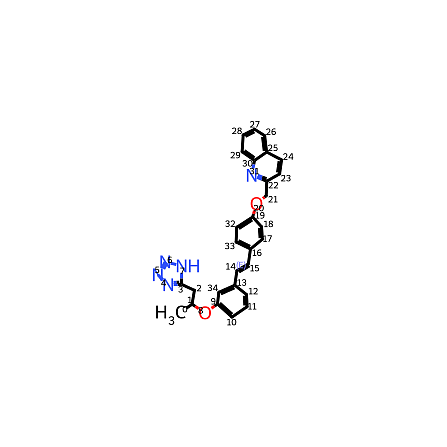 CC(Cc1nnn[nH]1)Oc1cccc(/C=C/c2ccc(OCc3ccc4ccccc4n3)cc2)c1